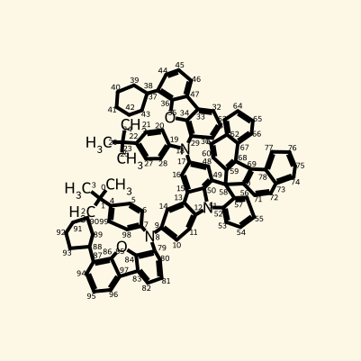 CC(C)(C)c1ccc(N(c2ccc3c(c2)c2cc(N(c4ccc(C(C)(C)C)cc4)c4cccc5c4oc4c(C6CCCCC6)cccc45)cc4c2n3-c2ccccc2C42c3ccc4ccccc4c3-c3c2ccc2ccccc32)c2cccc3c2oc2c(C4CCCCC4)cccc23)cc1